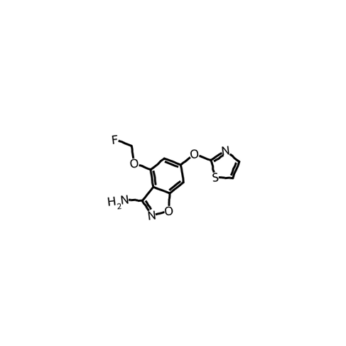 Nc1noc2cc(Oc3nccs3)cc(OCF)c12